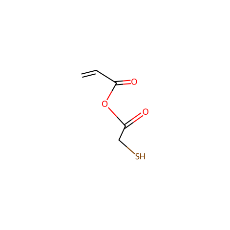 C=CC(=O)OC(=O)CS